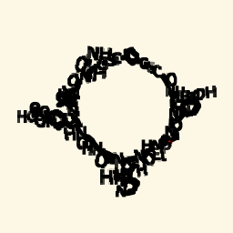 CCC1NC(=O)[C@@H]2CCCN2C(=O)[C@H](Cc2ccc(O)cc2)NC(=O)C(C(C)(C)C)NC(=O)CCSCc2cccc(c2)CSC[C@@H](C(N)=O)NC(=O)C2NC(=O)[C@@](C)(NC(=O)[C@H](Cc3ccc(OP(=O)(O)O)cc3)NC(=O)[C@H](C)NC(=O)C(C)(C)NC(=O)[C@H](Cc3c[nH]c4ncccc34)NC1=O)C(C)O[C@H]2C